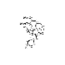 COc1cc2c(cc1OC)C1(NCC2)C(=O)N(Cc2ccc(C)cc2)c2ccc(C)cc21